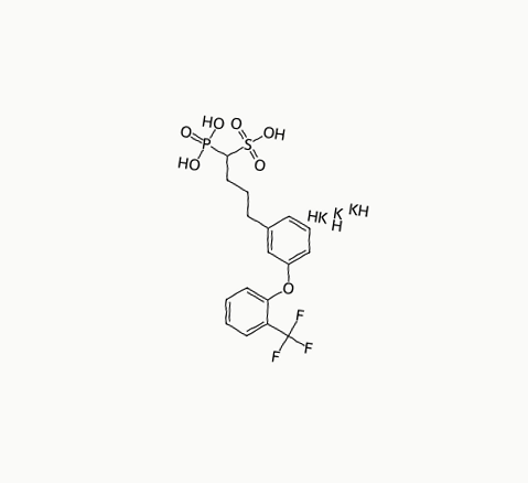 O=P(O)(O)C(CCCc1cccc(Oc2ccccc2C(F)(F)F)c1)S(=O)(=O)O.[KH].[KH].[KH]